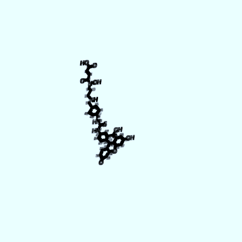 O=C(O)/C=C/C(=O)N(O)CCCNCc1ccc(CNC(=S)Nc2ccc(-c3c4ccc(=O)cc-4oc4cc(O)ccc34)c(C(=O)O)c2)cc1